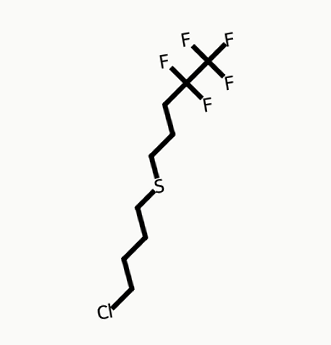 FC(F)(F)C(F)(F)CCCSCCCCCl